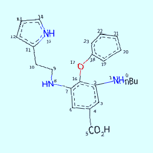 CCCCNc1cc(C(=O)O)cc(NCCc2ccc[nH]2)c1Oc1ccccc1